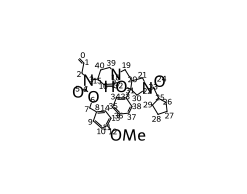 C=CCN(C(=O)OCc1ccc(OC)cc1)C1CCN(CC2CN(C(=O)C3CCCC3)CC2(O)c2ccccc2)CC1